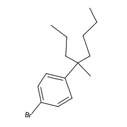 CCCCC(C)(CCC)c1ccc(Br)cc1